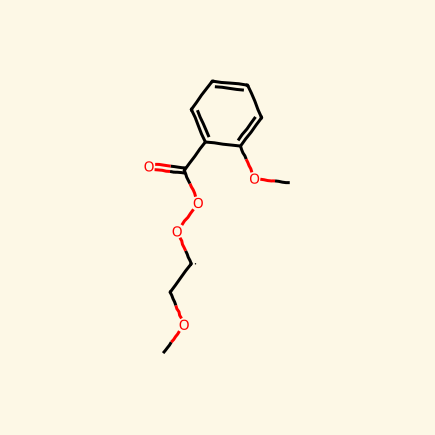 COC[CH]OOC(=O)c1ccccc1OC